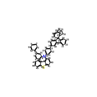 c1ccc(-c2cccc(N(c3ccc(-c4ccc5c(c4)-c4ccccc4C54C5CC6CC(C5)CC4C6)cc3)c3cccc4sc5ccccc5c34)c2)cc1